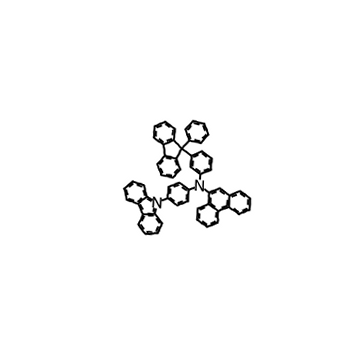 c1ccc(C2(c3cccc(N(c4ccc(-n5c6ccccc6c6ccccc65)cc4)c4cc5ccccc5c5ccccc45)c3)c3ccccc3-c3ccccc32)cc1